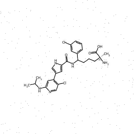 CC(C)Nc1cc(-c2c[nH]c(C(=O)NC(CCC[C@](C)(N)C(=O)O)c3cccc(Cl)c3)c2)c(Cl)cn1